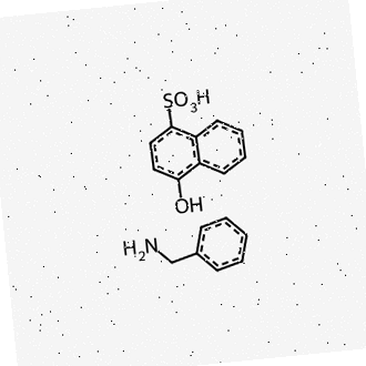 NCc1ccccc1.O=S(=O)(O)c1ccc(O)c2ccccc12